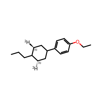 [2H][C@H]1CC(c2ccc(OCC)cc2)C[C@H]([2H])C1CCC